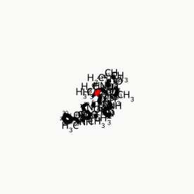 CC[C@H](C)[C@@H]([C@@H](CC(=O)N1CCC[C@H]1[C@H](OC)[C@@H](C)C(=O)N[C@H](C)[C@@H](O)c1ccccc1)OC)N(C)C(=O)[C@@H](NC(=O)[C@H](C(C)C)N(C)C(=O)OCC(C)(C)SSc1nc2nccnc2[nH]1)C(C)C